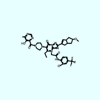 CCc1c(N2CCN(C(=O)c3ncnc(C)c3O)CC2)c(=O)n2nc(C3=CC4CC(OC)CC4C3)nc2n1CC(=O)Nc1ccc(C(F)(F)F)cc1Cl